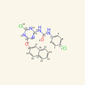 O=C(Nc1ccc(Cl)cc1)Nc1nc(Cl)nc(Oc2ccc3ccccc3c2)n1